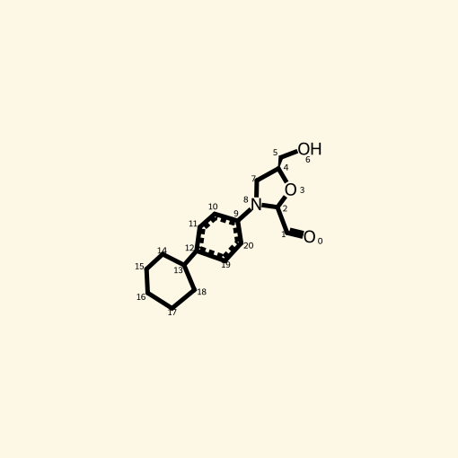 O=CC1O[C@H](CO)CN1c1ccc(C2CCCCC2)cc1